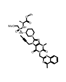 CC#CCn1c(N2CCC[C@@H](NP(=O)(COC)N[C@@H](C)C(=O)OC(C)C)C2)nc2c1c(=O)n(Cc1nc(C)c3ccccc3n1)c(=O)n2C